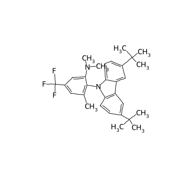 Cc1cc(C(F)(F)F)cc(N(C)C)c1-n1c2ccc(C(C)(C)C)cc2c2cc(C(C)(C)C)ccc21